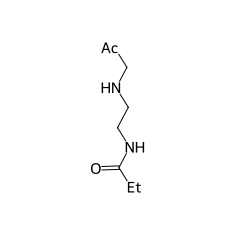 CCC(=O)NCCNCC(C)=O